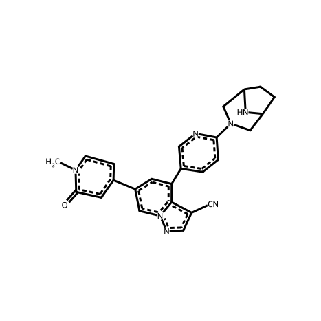 Cn1ccc(-c2cc(-c3ccc(N4CC5CCC(C4)N5)nc3)c3c(C#N)cnn3c2)cc1=O